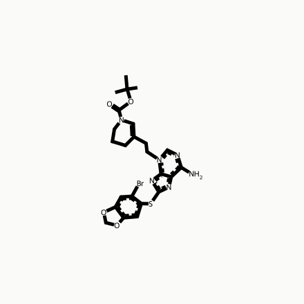 CC(C)(C)OC(=O)N1C=C(CCn2cnc(N)c3nc(Sc4cc5c(cc4Br)OCO5)nc2-3)CCC1